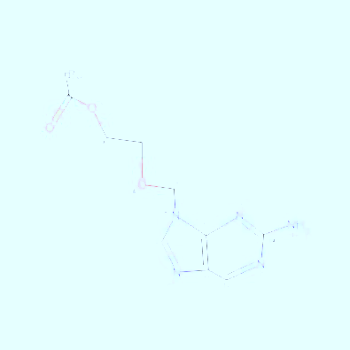 CC(C)(C)C(=O)OCCOCn1cnc2cnc(N)nc21